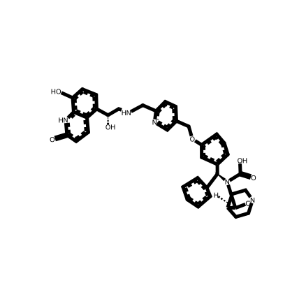 O=C(O)N([C@@H](c1ccccc1)c1cccc(OCc2ccc(CNC[C@H](O)c3ccc(O)c4[nH]c(=O)ccc34)nc2)c1)[C@H]1CN2CCC1CC2